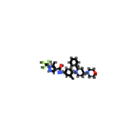 Cc1cc(NC(=O)c2cnn(C(F)(F)F)c2C)ccc1N1CCC(N2CCOCC2)CC1c1ccccc1